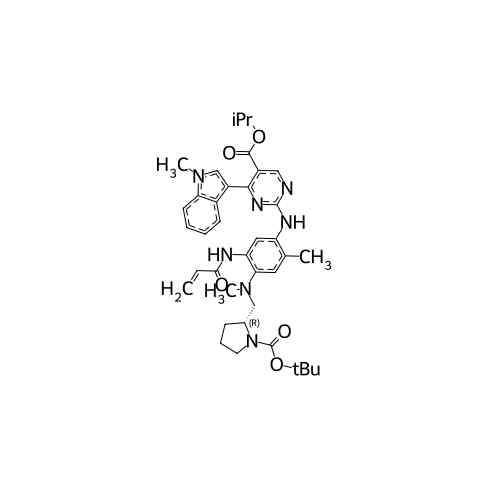 C=CC(=O)Nc1cc(Nc2ncc(C(=O)OC(C)C)c(-c3cn(C)c4ccccc34)n2)c(C)cc1N(C)C[C@H]1CCCN1C(=O)OC(C)(C)C